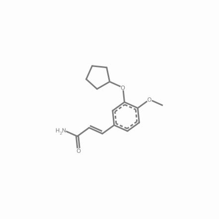 COc1ccc(C=CC(N)=O)cc1OC1CCCC1